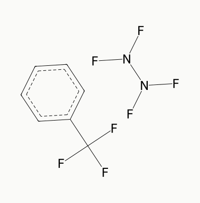 FC(F)(F)c1ccccc1.FN(F)N(F)F